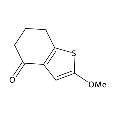 COc1cc2c(s1)CCCC2=O